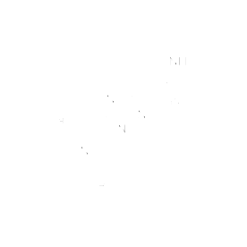 CCc1c(Br)nc(Br)c2nc(OC(N)=O)nn12